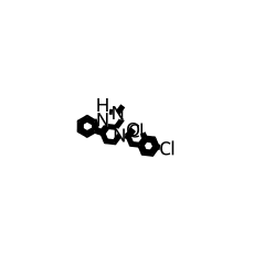 CN(C)CC1c2[nH]c3ccccc3c2CCN1C(=O)Cc1ccc(Cl)cc1Cl